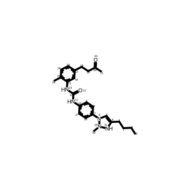 CCCCC1=CN(c2ccc(NC(=O)Nc3cc(CCC(C)=O)ccc3C)cc2)N(C)N1